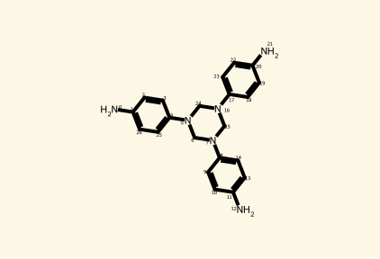 Nc1ccc(N2CN(c3ccc(N)cc3)CN(c3ccc(N)cc3)C2)cc1